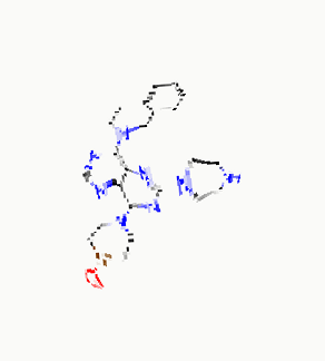 CCN(Cc1ccccc1)c1ncnc2c(N3CC[S+]([O-])CC3)nc(N3CCNCC3)nc12